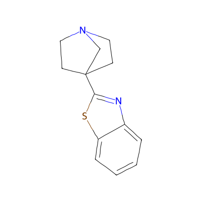 c1ccc2sc(C34CCN(CC3)C4)nc2c1